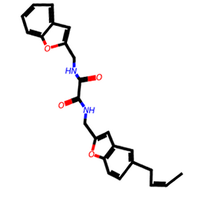 C/C=C\Cc1ccc2oc(CNC(=O)C(=O)NCc3cc4ccccc4o3)cc2c1